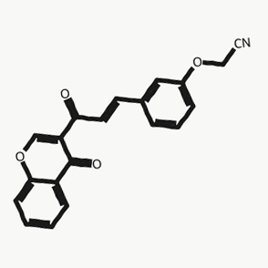 N#CCOc1cccc(/C=C/C(=O)c2coc3ccccc3c2=O)c1